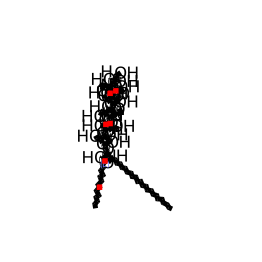 CCCCCCCCCCCCC/C=C/[C@@H](O)[C@H](CO[C@@H]1OC(CO)[C@@H](O[C@@H]2OC(CO)[C@H](O[C@@H]3OC(CO)[C@H](O)[C@H](O[C@@H]4OC(CO)[C@H](O)[C@H](O[C@]5(C(=O)O)CC(O)[C@@H](NC(C)=O)C([C@H](O)[C@H](O)CO)O5)C4O)C3NC(C)=O)[C@H](O)C2O)[C@H](O)C1O)NC(=O)CCCCCCCCCCCCCCCCCCCCCCC